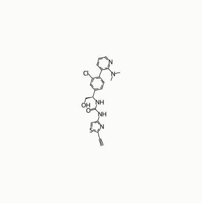 C#Cc1nc(NC(=O)N[C@@H](CO)c2ccc(-c3cccnc3N(C)C)c(Cl)c2)cs1